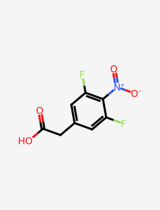 O=C(O)Cc1cc(F)c([N+](=O)[O-])c(F)c1